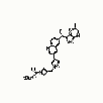 Cc1cnc2nnc(C(F)c3ccc4ncc(-c5cnn(CC6CN(C(=O)OC(C)(C)C)C6)c5)cc4c3)n2n1